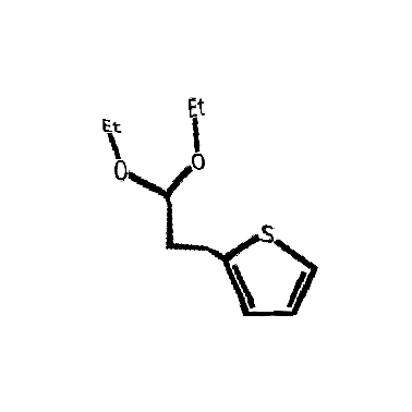 CCOC(Cc1cccs1)OCC